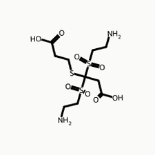 NCCS(=O)(=O)C(CC(=O)O)(SCCC(=O)O)S(=O)(=O)CCN